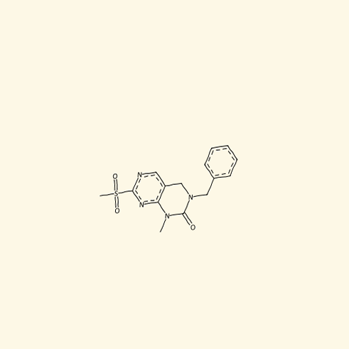 CN1C(=O)N(Cc2ccccc2)Cc2cnc(S(C)(=O)=O)nc21